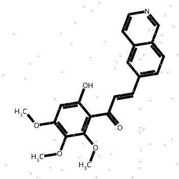 COc1cc(O)c(C(=O)C=Cc2ccc3cnccc3c2)c(OC)c1OC